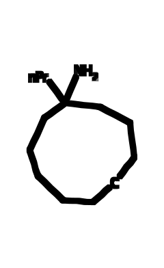 CCCC1(N)CCCCCCCCC1